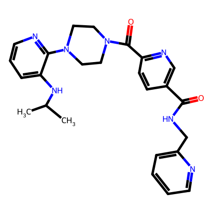 CC(C)Nc1cccnc1N1CCN(C(=O)c2ccc(C(=O)NCc3ccccn3)cn2)CC1